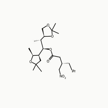 CC(C)C[C@@H](CC(=O)O[C@H]([C@H](C)[C@H]1COC(C)(C)O1)[C@H]1CC(C)(C)O[C@H]1C)C[N+](=O)[O-]